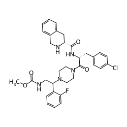 COC(=O)NCC(c1ccccc1F)N1CCN(C(=O)[C@@H](Cc2ccc(Cl)cc2)NC(=O)[C@H]2Cc3ccccc3CN2)CC1